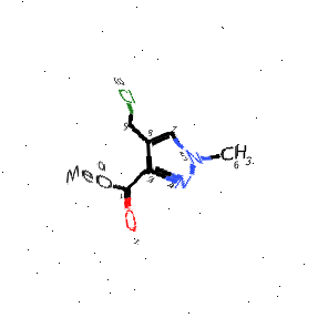 COC(=O)c1nn(C)cc1CCl